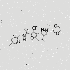 Cc1cnc(CNC(=O)c2oc3c(c2C(F)(F)F)-c2nn(C[C@H]4COCCO4)cc2[C@H](C)C3)nc1